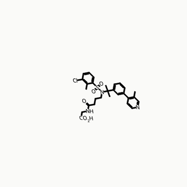 Cc1cnccc1-c1cccc(C(C)(C)N(CCCC(=O)NCC(=O)O)S(=O)(=O)c2cccc(Cl)c2C)c1